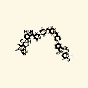 CC1=C(C(=O)Nc2ccc3[nH]nc(-c4ccnc(N5CCN(CC6CCN(CC7CCN(c8ccc9c(c8)C(=O)N(C8CCC(=O)NC8=O)C9=O)CC7)CC6)CC5)c4)c3c2)[C@H](C)n2nnnc2N1C